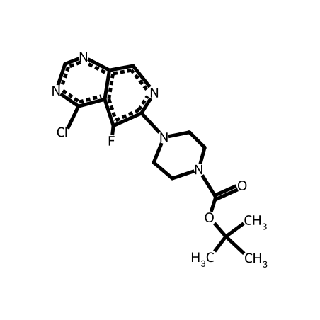 CC(C)(C)OC(=O)N1CCN(c2ncc3ncnc(Cl)c3c2F)CC1